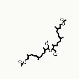 COCC(OC(COC)C(C)=CCCC(C)=CCCC(C)=CCOC(C)=O)C(C)=CCCC(C)=CCCC(C)=CCOC(C)=O